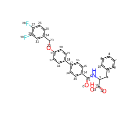 O=C(NC(Cc1ccccc1)C(=O)O)c1ccc(-c2ccc(OCc3ccc(F)c(F)c3)cc2)cc1